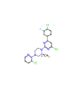 C[C@H]1CN(c2ncccc2Cl)CCN1c1nc(Cl)cc(-c2ccc(Cl)c(F)c2)n1